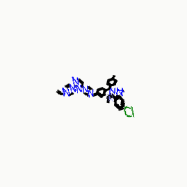 C=Nc1cc(Cl)ccc1/C(=C\C)NC(c1ccc(C)cc1)c1ccc(CN2CCN(c3ccnc(N4CCN(CC)CC4)n3)CC2)cc1